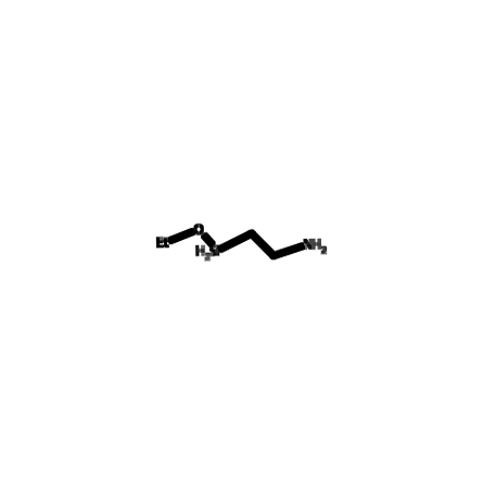 CCO[SiH2]CCN